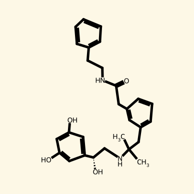 CC(C)(Cc1cccc(CC(=O)NCCc2ccccc2)c1)NC[C@H](O)c1cc(O)cc(O)c1